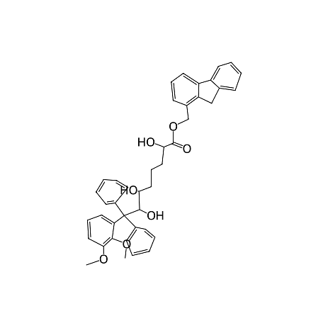 COc1cccc(C(c2ccccc2)(c2ccccc2)C(O)C(O)CCCC(O)C(=O)OCc2cccc3c2Cc2ccccc2-3)c1OC